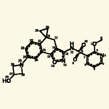 COc1ncccc1S(=O)(=O)Nc1noc2c1CC1(CC1)c1ccc(N3CC(O)C3)cc1-2